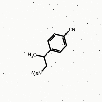 CNCC(C)c1ccc(C#N)cc1